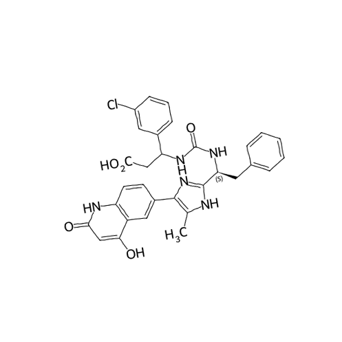 Cc1[nH]c([C@H](Cc2ccccc2)NC(=O)NC(CC(=O)O)c2cccc(Cl)c2)nc1-c1ccc2[nH]c(=O)cc(O)c2c1